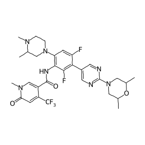 CC1CN(c2ncc(-c3c(F)cc(N4CCN(C)C(C)C4)c(NC(=O)c4cn(C)c(=O)cc4C(F)(F)F)c3F)cn2)CC(C)O1